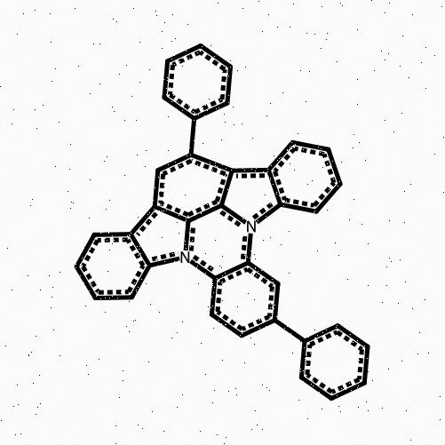 c1ccc(-c2ccc3c(c2)n2c4ccccc4c4c(-c5ccccc5)cc5c6ccccc6n3c5c42)cc1